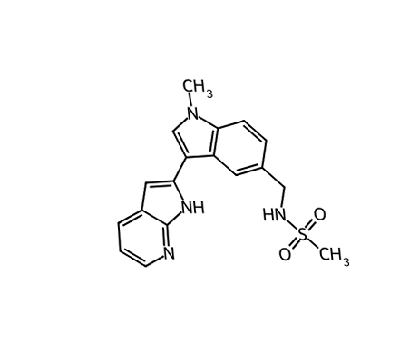 Cn1cc(-c2cc3cccnc3[nH]2)c2cc(CNS(C)(=O)=O)ccc21